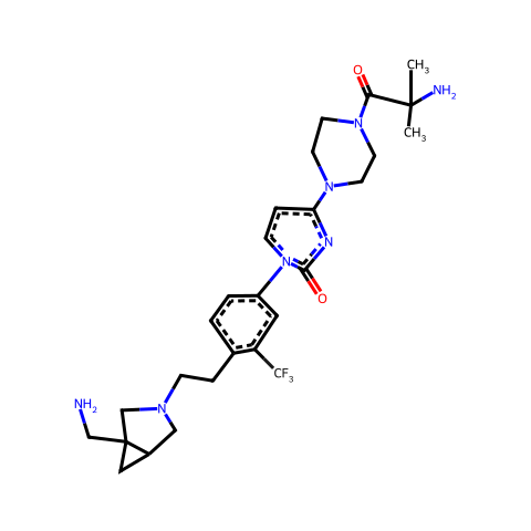 CC(C)(N)C(=O)N1CCN(c2ccn(-c3ccc(CCN4CC5CC5(CN)C4)c(C(F)(F)F)c3)c(=O)n2)CC1